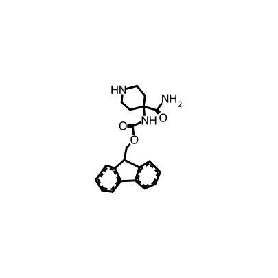 NC(=O)C1(NC(=O)OCC2c3ccccc3-c3ccccc32)CCNCC1